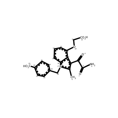 Cc1c(C(=O)C(N)=O)c2c(OCC(=O)O)cccc2n1Cc1ccc(C(=O)O)cc1